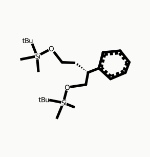 CC(C)(C)[Si](C)(C)OCC[C@@H](CO[Si](C)(C)C(C)(C)C)c1ccccc1